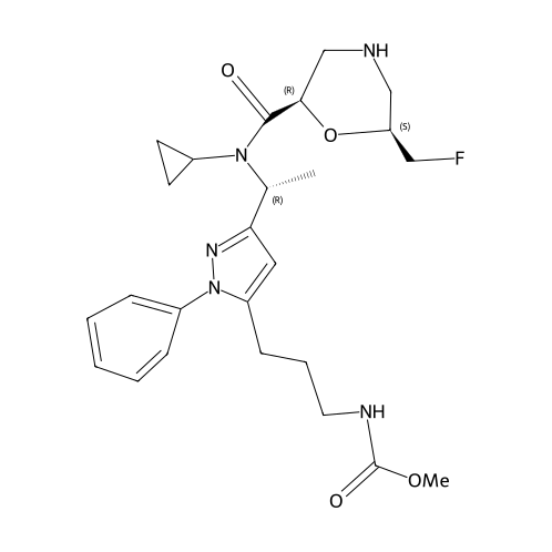 COC(=O)NCCCc1cc([C@@H](C)N(C(=O)[C@H]2CNC[C@@H](CF)O2)C2CC2)nn1-c1ccccc1